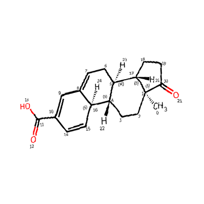 C[C@]12CC[C@H]3[C@@H](CC=C4C=C(C(=O)O)C=C[C@@H]43)[C@@H]1CCC2=O